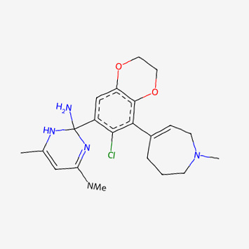 CNC1=NC(N)(c2cc3c(c(C4=CCN(C)CCC4)c2Cl)OCCO3)NC(C)=C1